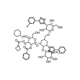 CC1O[C@@H](OC2C(n3cc(-c4ccccc4)nn3)CC(CO[C@H]3OC(CO)[C@@H](O)C(n4cc(-c5cccc(F)c5)nn4)C3O)C[C@H]2O[C@@H]2OC(CO)[C@H](O)C(O[C@@H](CC3CCCCC3)C(=O)N3CCC3)C2OC(=O)c2ccccc2)C(O)C(O)[C@@H]1O